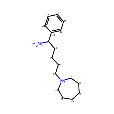 NC(CCCCN1CCCCCC1)c1ccccc1